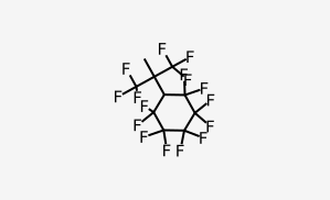 CC(C1C(F)(F)C(F)(F)C(F)(F)C(F)(F)C1(F)F)(C(F)(F)F)C(F)(F)F